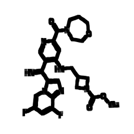 CC(C)(C)OC(=O)N1CC(CNc2cc(C(=O)N3CCCOCC3)ncc2C(=N)c2cnc3c(F)cc(F)cn23)C1